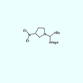 CCCCCCCC(CCCC)N1CCC(N(CC)CC)C1